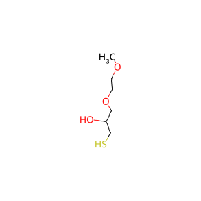 COCCOCC(O)CS